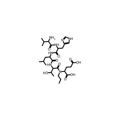 CCCN(C(=O)C(NC(=O)C(CC(C)C)NC(=O)C(Cc1c[nH]cn1)NC(=O)C(N)C(C)C)C(C)O)C(CCC(=O)O)C(=O)O